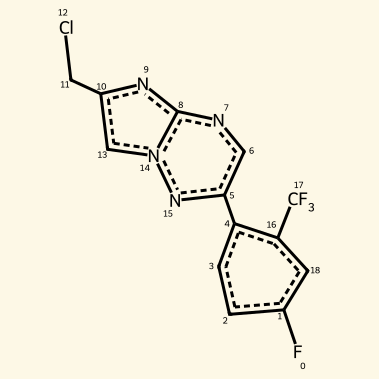 Fc1ccc(-c2cnc3nc(CCl)cn3n2)c(C(F)(F)F)c1